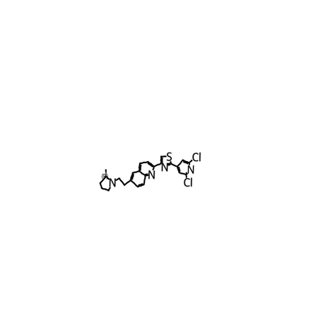 C[C@@H]1CCCN1CCc1ccc2nc(-c3csc(-c4cc(Cl)nc(Cl)c4)n3)ccc2c1